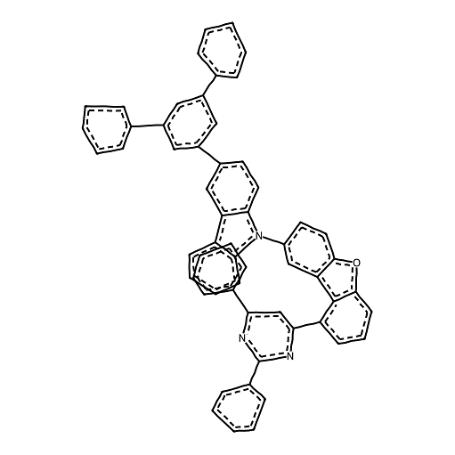 c1ccc(-c2cc(-c3ccccc3)cc(-c3ccc4c(c3)c3ccccc3n4-c3ccc4oc5cccc(-c6cc(-c7ccccc7)nc(-c7ccccc7)n6)c5c4c3)c2)cc1